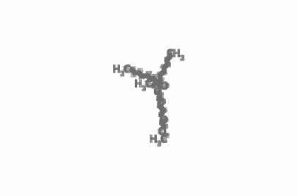 CCCCCCCCC(CC)(CCCCCCCC)C(=O)OCCOCCCOCCOCC